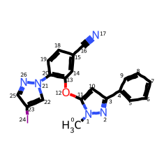 Cn1nc(-c2ccccc2)cc1Oc1cc(C#N)ccc1-n1cc(I)cn1